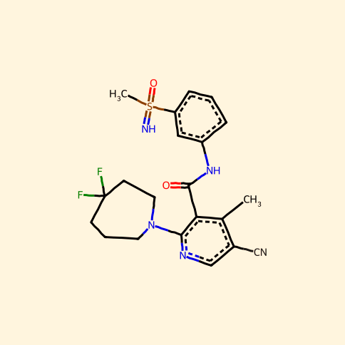 Cc1c(C#N)cnc(N2CCCC(F)(F)CC2)c1C(=O)Nc1cccc(S(C)(=N)=O)c1